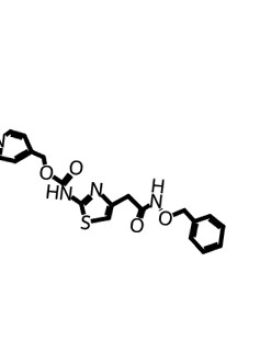 O=C(Cc1csc(NC(=O)OCc2ccncc2)n1)NOCc1ccccc1